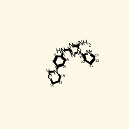 Nc1nc(Nc2ccc(N3CCCCC3)cc2)nn1-c1ccccn1